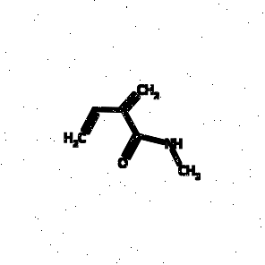 C=CC(=C)C(=O)NC